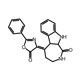 O=C1OC(c2ccccc2)=N/C1=C1/CCNC(=O)C2Nc3ccccc3C12